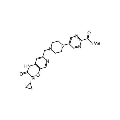 CNC(=O)c1ncc(N2CCN(Cc3cc4c(cn3)O[C@H](C3CC3)C(=O)N4)CC2)cn1